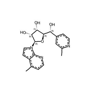 Cc1cc([C@@H](O)[C@H]2O[C@@H](n3ccc4c(C)ccnc43)[C@H](O)[C@@H]2O)ccn1